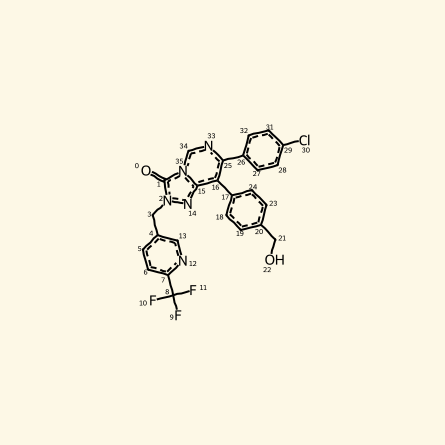 O=c1n(Cc2ccc(C(F)(F)F)nc2)nc2c(-c3ccc(CO)cc3)c(-c3ccc(Cl)cc3)ncn12